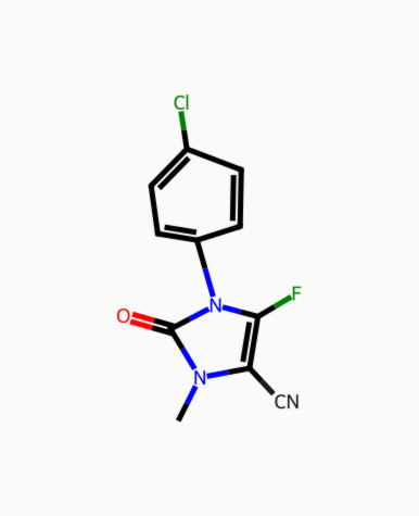 Cn1c(C#N)c(F)n(-c2ccc(Cl)cc2)c1=O